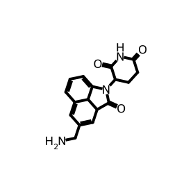 NCC1=CC2C(=O)N(C3CCC(=O)NC3=O)C3=CC=CC(=C1)C32